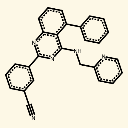 N#Cc1cccc(-c2nc(NCc3ccccn3)c3c(-c4ccccc4)cccc3n2)c1